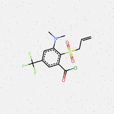 C=CCS(=O)(=O)c1c(C(=O)Cl)cc(C(F)(F)F)cc1N(C)C